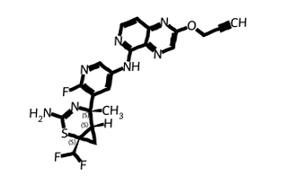 C#CCOc1cnc2c(Nc3cnc(F)c([C@@]4(C)N=C(N)S[C@@]5(C(F)F)C[C@@H]45)c3)nccc2n1